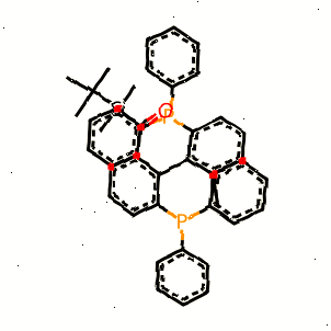 Cc1cccc(P(c2ccccc2)c2ccccc2)c1-c1c(C(=O)[Si](C)(C)C(C)(C)C)cccc1P(c1ccccc1)c1ccccc1